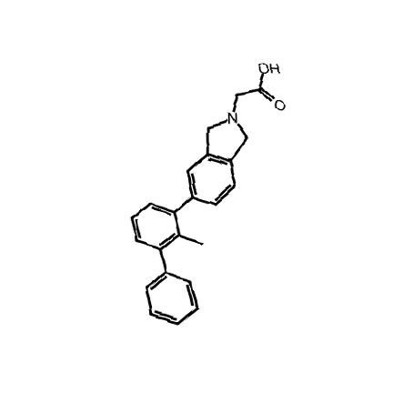 Cc1c(-c2ccccc2)cccc1-c1ccc2c(c1)CN(CC(=O)O)C2